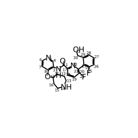 O=C(Nc1cnccc1OC1CCCNCC1)c1ccc(F)c(-c2c(F)cccc2CO)n1